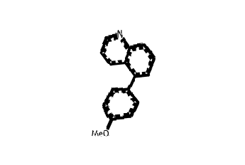 COc1ccc(-c2cccc3ncccc23)cc1